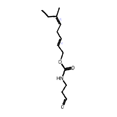 CC/C(C)=C\C/C=C/COC(=O)NCCC=O